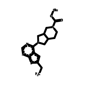 CC(C)(C)OC(=O)N1CCC2CN(c3ncnc4sc(CC(F)(F)F)cc34)CC2C1